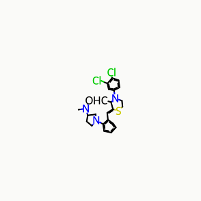 CN(C)C1CCN(c2ccccc2C=C2SCCN(c3ccc(Cl)c(Cl)c3)C2C=O)C1